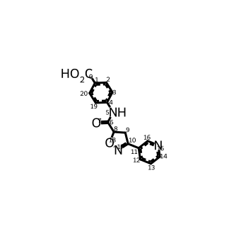 O=C(O)c1ccc(NC(=O)C2CC(c3cccnc3)=NO2)cc1